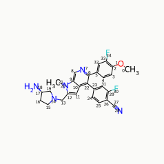 COc1ccc(-c2ncc3c(cc(CN4CC[C@@H](N)C4)n3C)c2-c2ccc(C#N)c(F)c2)cc1F